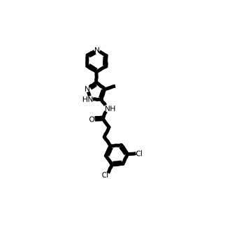 Cc1c(-c2ccncc2)n[nH]c1NC(=O)CCc1cc(Cl)cc(Cl)c1